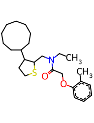 CCN(CC1SCCC1C1CCCCCCCC1)C(=O)COc1ccccc1C